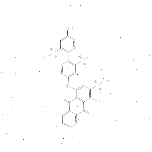 Nc1ccc(-c2ccc(Nc3cc(S(=O)(=O)O)c(N)c4c3C(=O)c3ccccc3C4=O)cc2S(=O)(=O)O)c(S(=O)(=O)O)c1